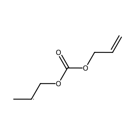 C=CCOC(=O)OC[CH]C